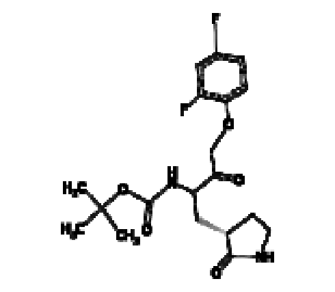 CC(C)(C)OC(=O)NC(C[C@@H]1CCNC1=O)C(=O)COc1ccc(F)cc1F